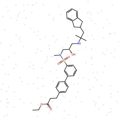 CCOC(=O)CCc1ccc(-c2cccc(S(=O)(=O)N(C)C[C@H](O)CNC(C)(C)CC3Cc4ccccc4C3)c2)cc1